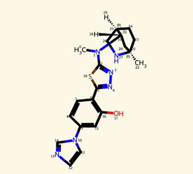 CN(c1nnc(-c2ccc(-n3ccnc3)cc2O)s1)[C@H]1C[C@@]2(C)CC[C@@H]1CN2